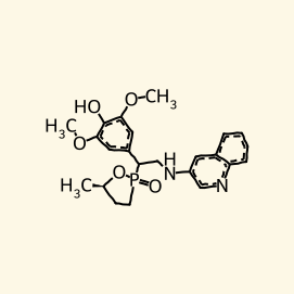 COc1cc(C(CNc2cnc3ccccc3c2)P2(=O)CC[C@@H](C)O2)cc(OC)c1O